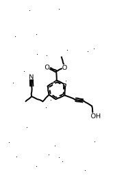 COC(=O)c1cc(C#CCO)cc(CC(C)C#N)c1